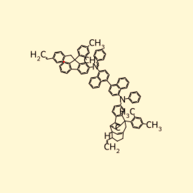 C=Cc1ccc(CC2(c3ccc(C)cc3C)c3ccccc3-c3ccc(N(c4ccccc4)c4ccc(-c5ccc(N(c6ccccc6)c6ccc7c(c6)C6(c8ccc(C)cc8C)CC8=C[C@@H](C9=CCCC6=C97)C(C=C)CC8)c6ccccc56)c5ccccc45)cc32)cc1